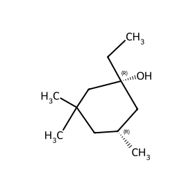 CC[C@@]1(O)C[C@H](C)CC(C)(C)C1